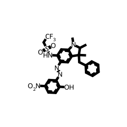 CC1N(C)c2cc(NS(=O)(=O)CC(F)(F)F)c(N=Nc3cc([N+](=O)[O-])ccc3O)cc2C1(C)Cc1ccccc1